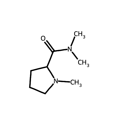 CN(C)C(=O)C1CCCN1C